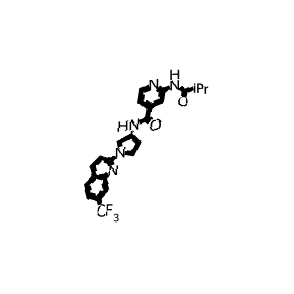 CC(C)C(=O)Nc1cc(C(=O)N[C@@H]2CCN(c3ccc4ccc(C(F)(F)F)cc4n3)C2)ccn1